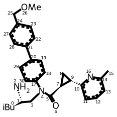 CC[C@H](C)[C@H](N)CN(C(=O)[C@H]1C[C@@H]1c1cccc(C)n1)c1ccc(-c2ccc(COC)cc2)cc1